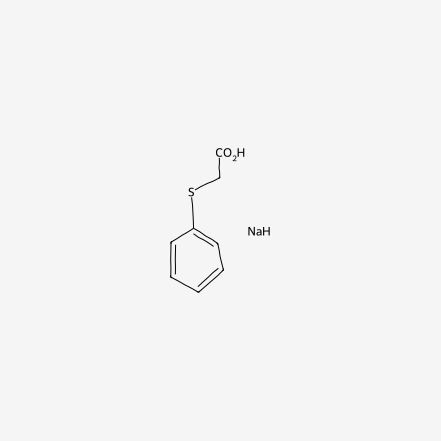 O=C(O)CSc1ccccc1.[NaH]